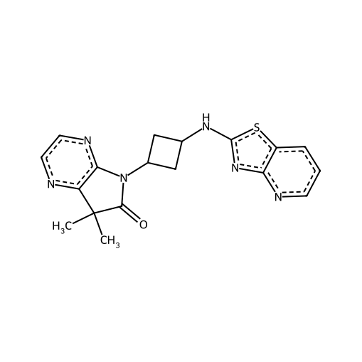 CC1(C)C(=O)N(C2CC(Nc3nc4ncccc4s3)C2)c2nccnc21